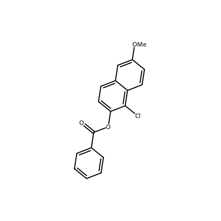 COc1ccc2c(Cl)c(OC(=O)c3ccccc3)ccc2c1